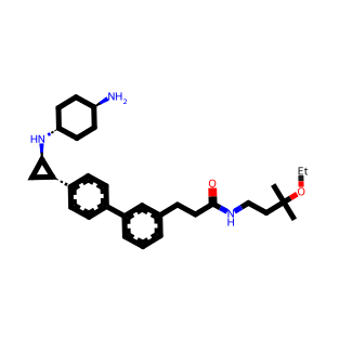 CCOC(C)(C)CCNC(=O)CCc1cccc(-c2ccc([C@@H]3C[C@H]3N[C@H]3CC[C@H](N)CC3)cc2)c1